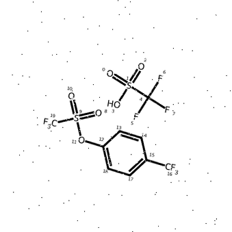 O=S(=O)(O)C(F)(F)F.O=S(=O)(Oc1ccc(C(F)(F)F)cc1)C(F)(F)F